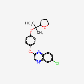 CC(Oc1ccc(Oc2cnc3cc(Cl)ccc3n2)cc1)(C(=O)O)C1CCCO1